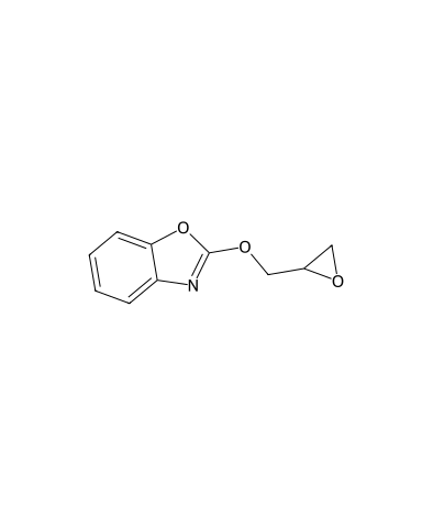 c1ccc2oc(OCC3CO3)nc2c1